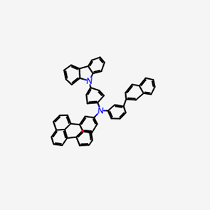 c1ccc(-c2cccc3cccc(-c4cccc(N(c5ccc(-n6c7ccccc7c7ccccc76)cc5)c5cccc(-c6ccc7ccccc7c6)c5)c4)c23)cc1